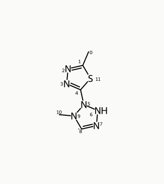 Cc1nnc(N2NN=[C]N2C)s1